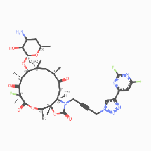 CC[C@H]1OC(=O)[C@@](C)(F)C(=O)[C@H](C)[C@@H](O[C@@H]2O[C@H](C)CC(N)C2O)[C@](C)(OC)C[C@@H](C)C(=O)[C@H](C)[C@H]2N(CC#CCn3cc(-c4cc(F)nc(F)n4)nn3)C(=O)O[C@]12C